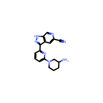 N#Cc1cc2c(-c3cccc(N4CCCC(N)C4)n3)n[nH]c2cn1